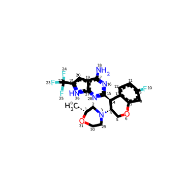 C[C@@H]1CN([C@H]2COc3cc(F)ccc3[C@@H]2c2nc(N)c3cc(C(F)(F)F)[nH]c3n2)CCO1